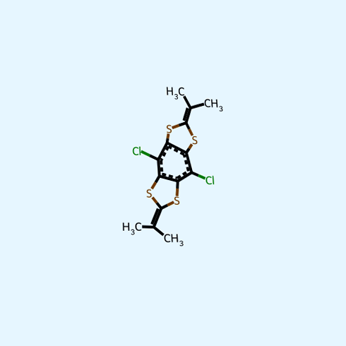 CC(C)=C1Sc2c(Cl)c3c(c(Cl)c2S1)SC(=C(C)C)S3